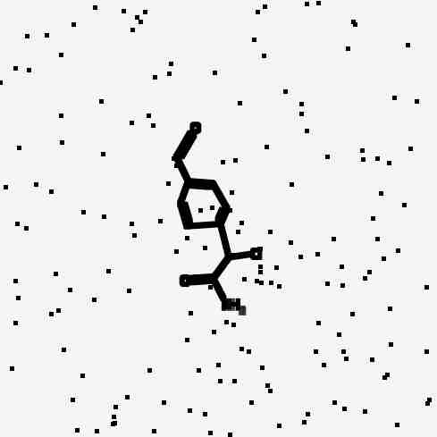 NC(=O)C(Cl)c1ccc(C=O)cc1